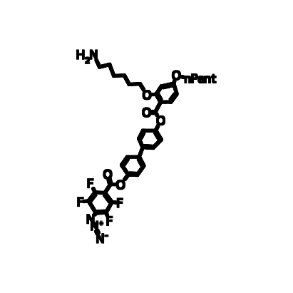 CCCCCOc1ccc(C(=O)Oc2ccc(-c3ccc(OC(=O)c4c(F)c(F)c(N=[N+]=[N-])c(F)c4F)cc3)cc2)c(OCCCCCCN)c1